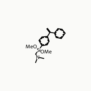 C=C(c1ccccc1)c1ccc([Si](CN(C)C)(OC)OC)cc1